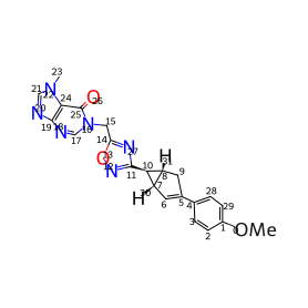 COc1ccc(C2=C[C@H]3[C@@H](C2)[C@@H]3c2noc(Cn3cnc4ncn(C)c4c3=O)n2)cc1